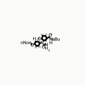 CCCCCCCCCOc1ccc(N(C(N)=O)c2cc(C(=O)NCCCC)ccc2C)cc1